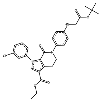 CCOC(=O)c1nn(-c2cccc(Cl)c2)c2c1CCN(c1ccc(NCC(=O)OC(C)(C)C)cc1)C2=O